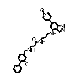 O=C(CCNCc1ccc(-c2ccccc2)c(Cl)c1)NCCCNc1cc(-c2cc[n+]([O-])cc2)cc2[nH]ncc12